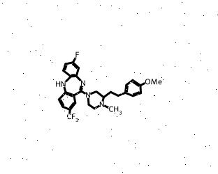 COc1ccc(CCC2CN(C3=Nc4cc(F)ccc4Nc4ccc(C(F)(F)F)cc43)CCN2C)cc1